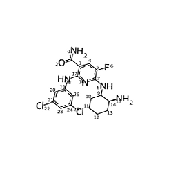 NC(=O)c1cc(F)c(NC2CCCC[C@@H]2N)nc1Nc1cc(Cl)cc(Cl)c1